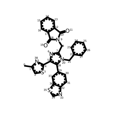 Cc1csc(-c2nc(CN3C(=O)c4ccccc4C3=O)n(Cc3ccccc3)c2-c2ccc3ncsc3c2)n1